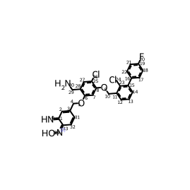 N=C1C=C(COc2cc(OCc3cccc(-c4ccc(F)cc4)c3Cl)c(Cl)cc2CN)C=C/C1=N/O